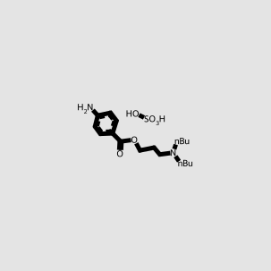 CCCCN(CCCC)CCCOC(=O)c1ccc(N)cc1.O=S(=O)(O)O